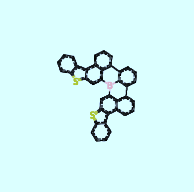 c1cc2c3c(c1)-c1cccc4c1c(cc1sc5ccccc5c14)B3c1cc3sc4ccccc4c3c3cccc-2c13